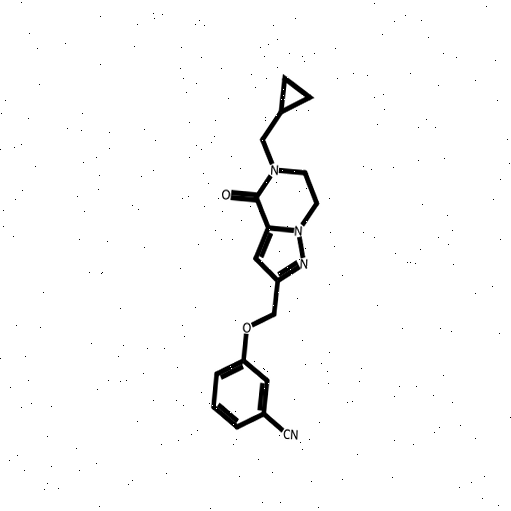 N#Cc1cccc(OCc2cc3n(n2)CCN(CC2CC2)C3=O)c1